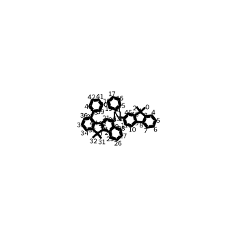 CC1(C)c2ccccc2-c2ccc(N(c3ccccc3)c3cc4c(c5ccccc35)C(C)(C)c3cccc(-c5ccccc5)c3-4)cc21